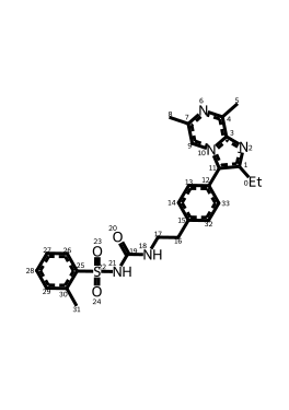 CCc1nc2c(C)nc(C)cn2c1-c1ccc(CCNC(=O)NS(=O)(=O)c2ccccc2C)cc1